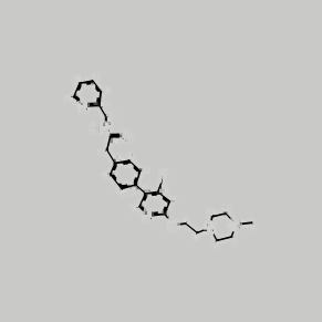 CN1CCN(CCOc2cc(F)c(-c3ccc(CC(=O)NCc4ccccn4)cc3)cn2)CC1